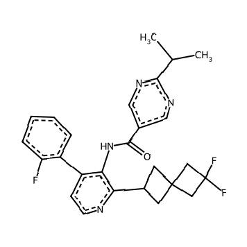 CC(C)c1ncc(C(=O)Nc2c(-c3ccccc3F)ccnc2C2CC3(C2)CC(F)(F)C3)cn1